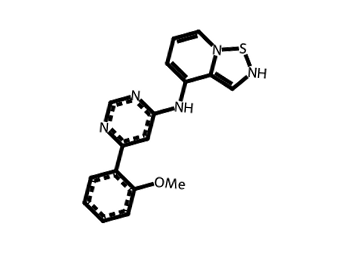 COc1ccccc1-c1cc(NC2=CC=CN3SNC=C23)ncn1